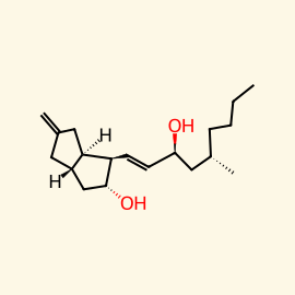 C=C1C[C@H]2C[C@@H](O)[C@H](/C=C/[C@@H](O)C[C@@H](C)CCCC)[C@@H]2C1